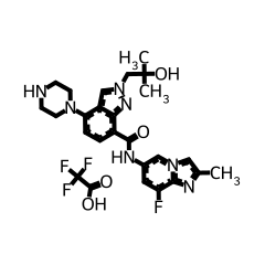 Cc1cn2cc(NC(=O)c3ccc(N4CCNCC4)c4cn(CC(C)(C)O)nc34)cc(F)c2n1.O=C(O)C(F)(F)F